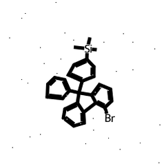 C[Si](C)(C)c1ccc(C2(c3ccccc3)c3ccccc3-c3c(Br)cccc32)cc1